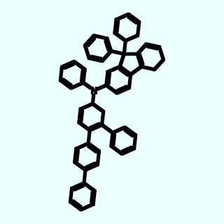 C1=CCC(C2(c3ccccc3)C3=C(CCC=C3)c3ccc(N(c4ccccc4)C4C=CC(c5ccc(-c6ccccc6)cc5)=C(c5ccccc5)C4)cc32)C=C1